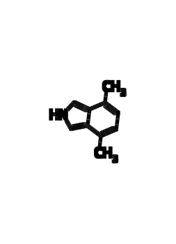 Cc1ccc(C)c2c[nH]cc12